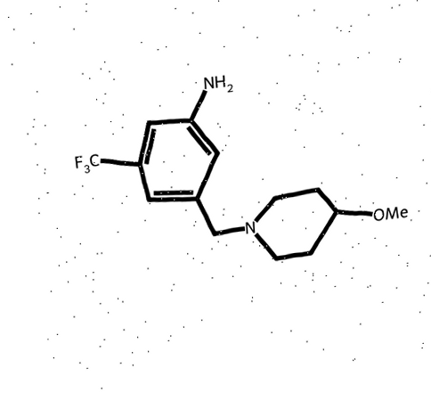 COC1CCN(Cc2cc(N)cc(C(F)(F)F)c2)CC1